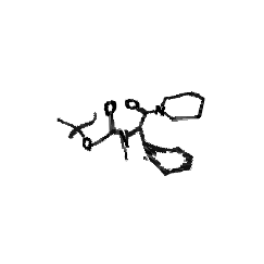 CN(C(=O)OC(C)(C)C)C(C(=O)N1CCCCC1)c1[c]cccc1